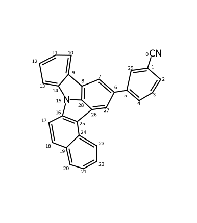 N#Cc1cccc(-c2cc3c4ccccc4n4c5ccc6ccccc6c5c(c2)c34)c1